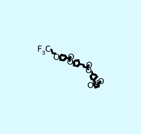 O=C(/C=C/c1ccc(OC(=O)c2ccc(OCCCC(F)(F)F)cc2)cc1)OCc1ccc(N2C(=O)C=CC2=O)cc1